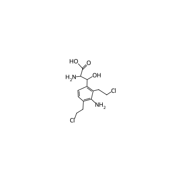 Nc1c(CCCl)ccc(C(O)C(N)C(=O)O)c1CCCl